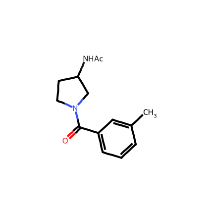 CC(=O)NC1CCN(C(=O)c2cccc(C)c2)C1